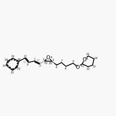 C(/C=C/[C@@H]1O[C@H]1CCCCOC1CCCCO1)=C\c1ccccc1